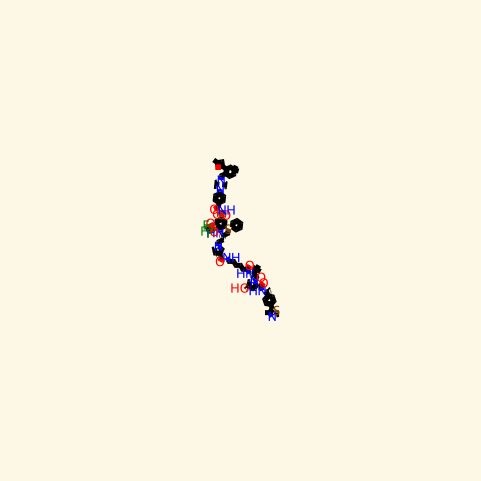 Cc1ncsc1-c1ccc([C@H](C)NC(=O)[C@@H]2C[C@@H](O)CN2C(=O)[C@@H](NC(=O)CCCCCNC(=O)[C@H]2CCN(CC[C@H](CSc3ccccc3)Nc3ccc(S(=O)(=O)NC(=O)c4ccc(N5CCN(CC6=C(C78CC(C)(C7)C8)CC(C)(C)CC6)CC5)cc4)cc3S(=O)(=O)C(F)(F)F)C2)C(C)(C)C)cc1